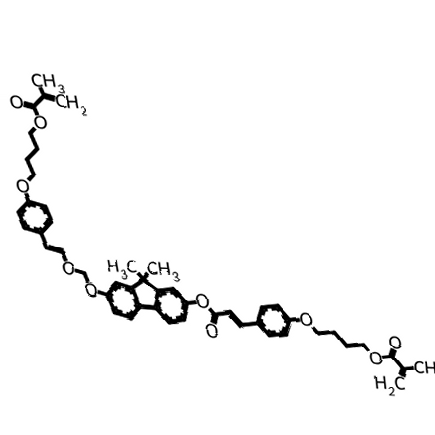 C=C(C)C(=O)OCCCCOc1ccc(C=COCOc2ccc3c(c2)C(C)(C)c2cc(OC(=O)C=Cc4ccc(OCCCCOC(=O)C(=C)C)cc4)ccc2-3)cc1